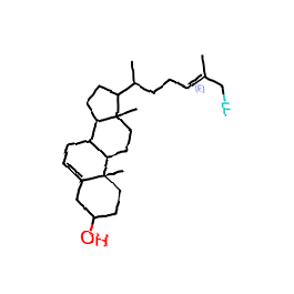 C/C(=C\CCC(C)C1CCC2C3CC=C4CC(O)CCC4(C)C3CCC12C)CF